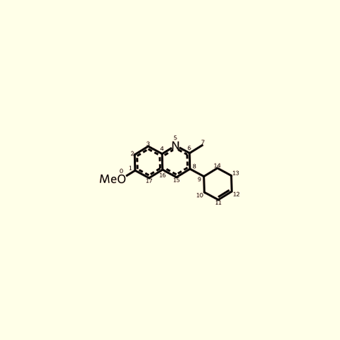 COc1ccc2nc(C)c(C3CC=CCC3)cc2c1